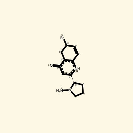 NN1CCC[C@H]1c1cc(=O)c2c([nH]1)C=CC(Br)C2